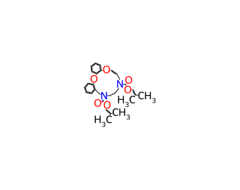 CC(C)=COC(=O)N1C/C=C\Oc2ccccc2Oc2ccccc2CN(C(=O)OC=C(C)C)CCC1